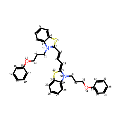 C(=Cc1sc2ccccc2[n+]1CCCOc1ccccc1)C=C1Sc2ccccc2N1CCCOc1ccccc1